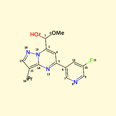 COC(O)c1cc(-c2cncc(F)c2)nc2c(C(C)C)cnn12